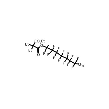 CCOC(=O)C(CC)(CC)C(=O)OC(F)(F)C(F)(F)C(F)(F)C(F)(F)C(F)(F)C(F)(F)C(F)(F)C(F)(F)F